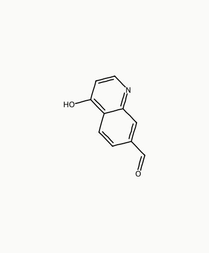 O=Cc1ccc2c(O)ccnc2c1